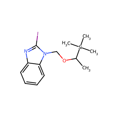 CC(OCn1c(I)nc2ccccc21)[Si](C)(C)C